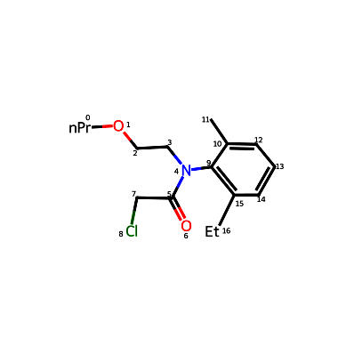 CCCOCCN(C(=O)CCl)c1c(C)cccc1CC